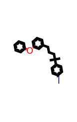 CC(C)(CCCc1cccc(Oc2ccccc2)c1)c1ccc(I)cc1